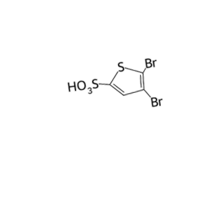 O=S(=O)(O)c1cc(Br)c(Br)s1